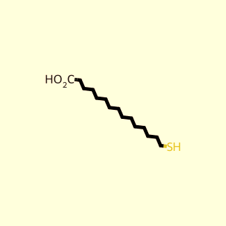 O=C(O)CCCCCCCCCCCCCCS